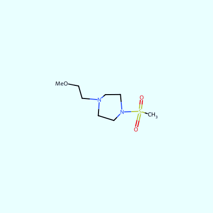 COCCN1CCN(S(C)(=O)=O)CC1